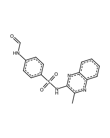 Cc1nc2ccccc2nc1NS(=O)(=O)c1ccc(NC=O)cc1